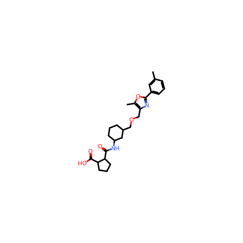 Cc1cccc(-c2nc(COCC3CCCC(NC(=O)C4CCCC4C(=O)O)C3)c(C)o2)c1